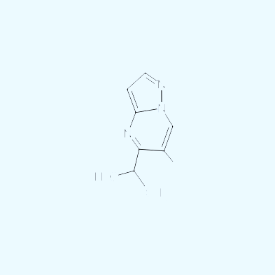 CC(C)c1nc2ccnn2cc1F